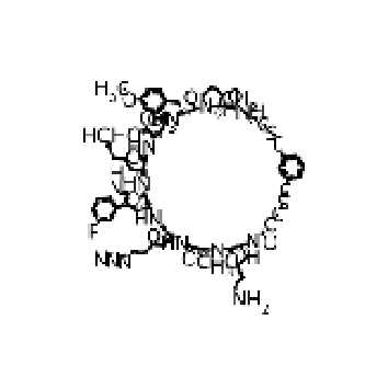 C#CCCC[C@@H]1NC(=O)[C@H](Cc2c[nH]c3ccc(F)cc23)NC(=O)[C@H](CCCCN=[N+]=[N-])NC(=O)[C@@H](C)NC(=O)[C@H](CCCCN)NC(=O)CCSCc2cccc(c2)CSCCNC(=O)[C@]2(C)CCCN2C(=O)[C@H](Cc2ccc(OC)cc2)NC(=O)[C@H]([C@H](C)O)NC1=O